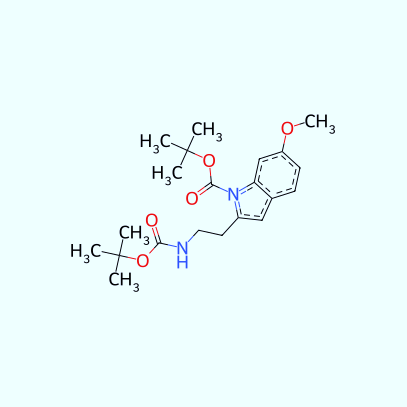 COc1ccc2cc(CCNC(=O)OC(C)(C)C)n(C(=O)OC(C)(C)C)c2c1